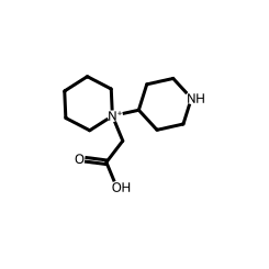 O=C(O)C[N+]1(C2CCNCC2)CCCCC1